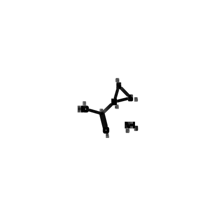 N.O=C(O)n1ss1